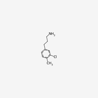 Cc1ccc(CCCN)cc1Cl